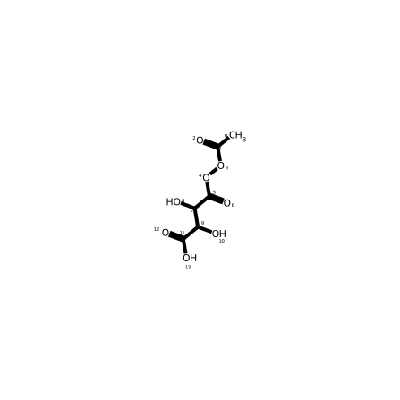 CC(=O)OOC(=O)C(O)C(O)C(=O)O